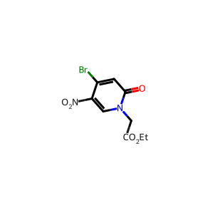 CCOC(=O)Cn1cc([N+](=O)[O-])c(Br)cc1=O